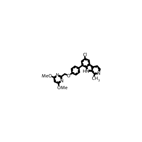 COc1cc(OC)nc(COc2ccc(-c3cc(Cl)cc4c3[nH]c3c(C)nccc34)cc2)n1